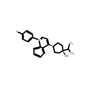 CC(C)[C@]1(O)CC[C@@H](c2cc[n+](-c3ccc(F)cc3)c3ccccc32)CC1